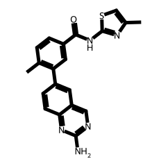 Cc1csc(NC(=O)c2ccc(C)c(-c3ccc4nc(N)ncc4c3)c2)n1